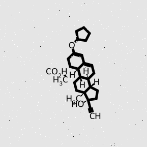 C#C[C@]1(O)CC[C@H]2[C@@H]3CC=C4C=C(OC5CCCC5)CC[C@@H]4[C@H]3CC[C@@]21C.CC(=O)O